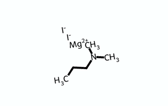 CCCN(C)C.[I-].[I-].[Mg+2]